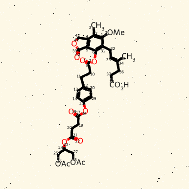 COc1c(C)c2c(c(OC(=O)CCc3ccc(OC(=O)CCC(=O)OC(COC(C)=O)COC(C)=O)cc3)c1C/C=C(\C)CCC(=O)O)C(=O)OC2